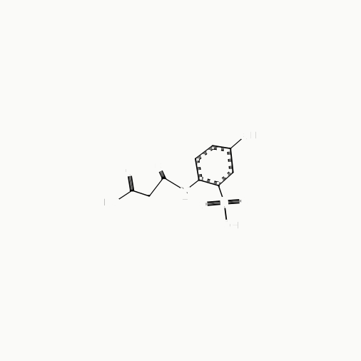 CC(=O)CC(=O)Nc1ccc(C)cc1S(=O)(=O)O